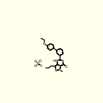 CCCc1nn(C)c2c(=O)nc(-c3cccc(-c4ccc(OCC)cc4)c3)[nH]c12.O=S(=O)(Cl)Cl